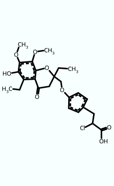 CCc1c(O)c(OC)c(OC)c2c1C(=O)CC(CC)(COc1ccc(CC(Cl)C(=O)O)cc1)O2